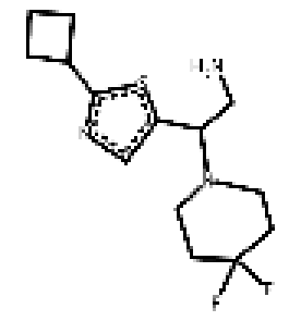 NCC(c1cnc(C2CCC2)s1)N1CCC(F)(F)CC1